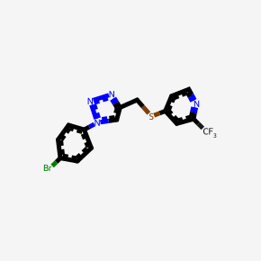 FC(F)(F)c1cc(SCc2cn(-c3ccc(Br)cc3)nn2)ccn1